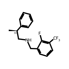 C[C@H](CNCc1cccc(C(F)(F)F)c1F)c1ccccc1